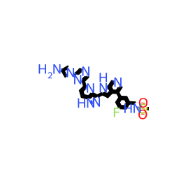 CS(=O)(=O)NCc1cc(F)cc(-c2cncc3[nH]c(-c4n[nH]c5ccc(-c6cncc(N7CC(N)C7)n6)nc45)cc23)c1